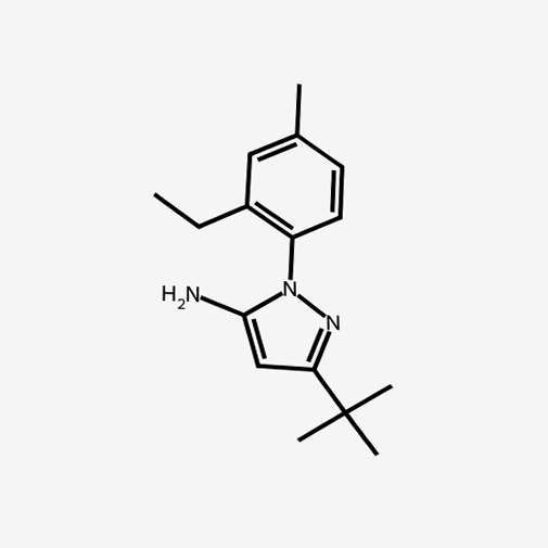 CCc1cc(C)ccc1-n1nc(C(C)(C)C)cc1N